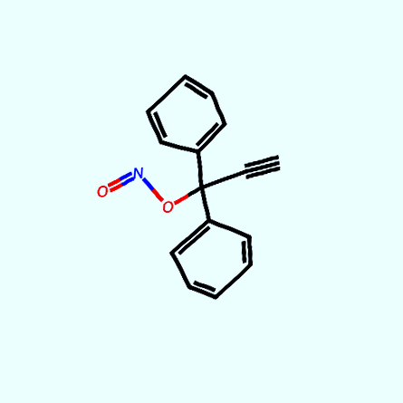 C#CC(ON=O)(c1ccccc1)c1ccccc1